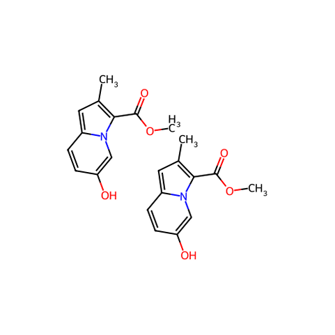 COC(=O)c1c(C)cc2ccc(O)cn12.COC(=O)c1c(C)cc2ccc(O)cn12